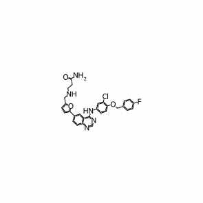 NC(=O)CCNCc1ccc(-c2ccc3ncnc(Nc4ccc(OCc5ccc(F)cc5)c(Cl)c4)c3c2)o1